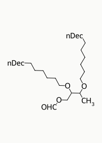 CCCCCCCCCCCCCCCCOC(C)C(COC=O)OCCCCCCCCCCCCCCCC